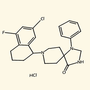 Cl.O=C1NCN(c2ccccc2)C12CCN(C1CCCc3c(F)cc(Cl)cc31)CC2